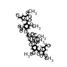 COC(=O)C1CC(C=O)CN1C(=O)c1cc([N+](=O)[O-])c(OCCN(CCOc2cc(OC)c(C(=O)N3CC(C=O)CC3C(=O)OC)cc2[N+](=O)[O-])C(=O)OC(C)(C)C)cc1OC